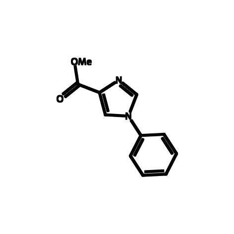 COC(=O)c1cn(-c2ccccc2)cn1